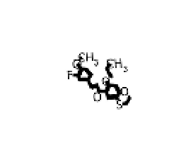 CCCOc1cc2c(cc1C(=O)C=Cc1ccc(OC)c(F)c1)SCCO2